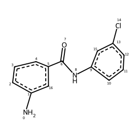 Nc1cccc(C(=O)Nc2cccc(Cl)c2)c1